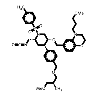 COCCCN1CCOc2ccc(CO[C@H]3CN(S(=O)(=O)c4ccc(C)cc4)[C@@H](CN=C=O)C[C@@H]3c3ccc(COC[C@@H](C)COC)cc3)cc21